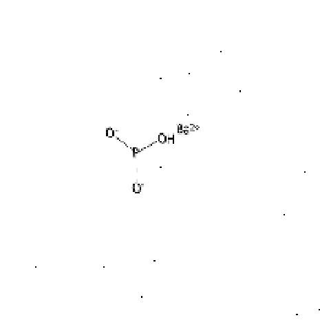 [Ba+2].[O-]P([O-])O